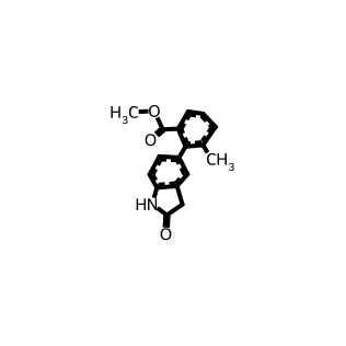 COC(=O)c1cccc(C)c1-c1ccc2c(c1)CC(=O)N2